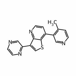 Cc1ccncc1-c1ccnc2c(-c3cnccn3)csc12